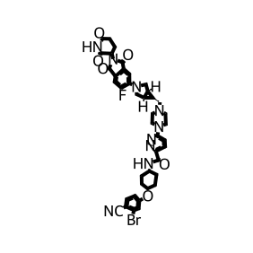 N#Cc1ccc(O[C@H]2CC[C@H](NC(=O)c3ccc(N4CCN(C[C@@H]5[C@H]6CN(c7cc8c(cc7F)C(=O)N(C7CCC(=O)NC7=O)C8=O)C[C@@H]56)CC4)nn3)CC2)cc1Br